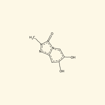 Cn1nc2cc(O)c(O)cn2c1=O